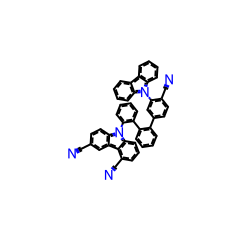 N#Cc1ccc2c(c1)c1c(C#N)cccc1n2-c1ccccc1-c1ccccc1-c1ccc(C#N)c(-n2c3ccccc3c3ccccc32)c1